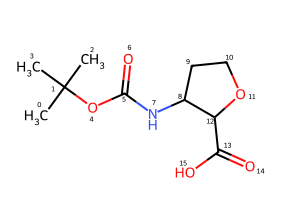 CC(C)(C)OC(=O)NC1CCOC1C(=O)O